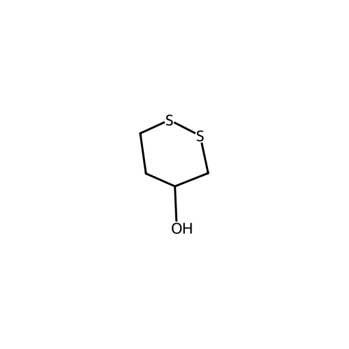 OC1CCSSC1